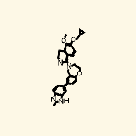 COC1=C(OCC2CC2)C=CC2=C(N3CCOc4ccc(-c5ccc6nc(C)[nH]c6c5)cc4C3)N=CCC21